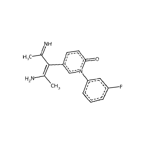 CC(=N)/C(=C(/C)N)c1ccc(=O)n(-c2cccc(F)c2)c1